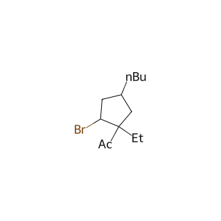 CCCCC1CC(Br)C(CC)(C(C)=O)C1